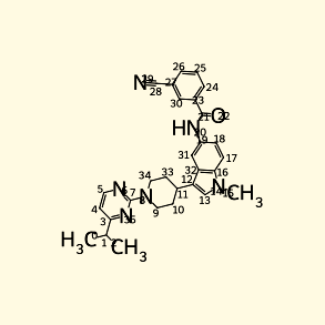 CC(C)c1ccnc(N2CCC(c3cn(C)c4ccc(NC(=O)c5cccc(C#N)c5)cc34)CC2)n1